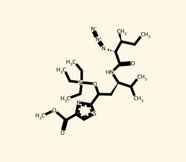 CC[C@H](C)[C@@H](N=[N+]=[N-])C(=O)N[C@H](CC(O[Si](CC)(CC)CC)c1nc(C(=O)OC)cs1)C(C)C